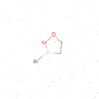 CCB1CCOO1